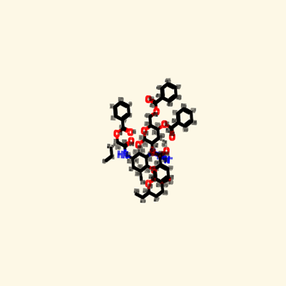 CCC[C@H](OC(=O)c1ccccc1)C(=O)N[C@@H]1C[C@H](C)C(O[C@H]2OC(CC)CCC2C)C(N=[N+]=[N-])[C@H]1O[C@H]1OC(COC(=O)c2ccccc2)[C@@H](OC(=O)c2ccccc2)[C@H](C)C1OC(=O)c1ccccc1